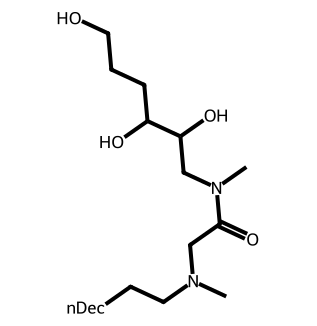 CCCCCCCCCCCCN(C)CC(=O)N(C)CC(O)C(O)CCCO